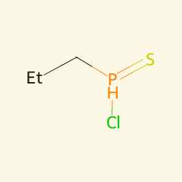 CCC[PH](=S)Cl